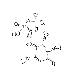 CCC(Cl)(Cl)OP(=O)(O)O.O=C1C=C(N2CC2)C(=O)C(N2CC2)=C1N1CC1